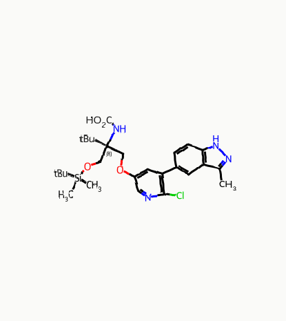 Cc1n[nH]c2ccc(-c3cc(OC[C@](CO[Si](C)(C)C(C)(C)C)(NC(=O)O)C(C)(C)C)cnc3Cl)cc12